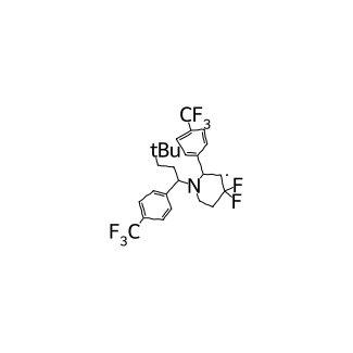 CC(C)(C)CCC(c1ccc(C(F)(F)F)cc1)N1CCC(F)(F)[CH]C1c1ccc(C(F)(F)F)cc1